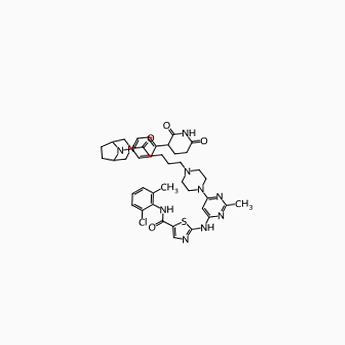 Cc1nc(Nc2ncc(C(=O)Nc3c(C)cccc3Cl)s2)cc(N2CCN(CCCCC(=O)N3CC4CCC(C3)N4c3ccc(C4CCC(=O)NC4=O)cc3)CC2)n1